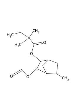 CCC(C)(C)C(=O)OC1C2CC(C)C(C2)C1OC=O